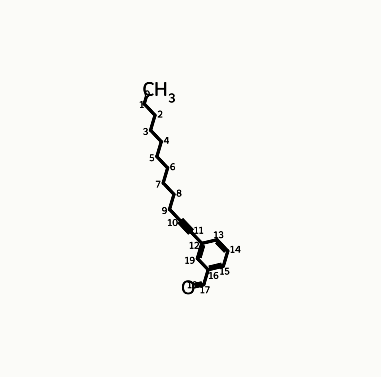 CCCCCCCCCCC#Cc1cccc(C=O)c1